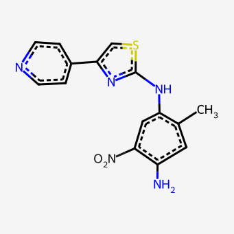 Cc1cc(N)c([N+](=O)[O-])cc1Nc1nc(-c2ccncc2)cs1